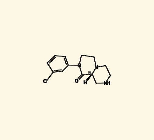 O=C1[C@H]2CNCCN2CCN1c1cccc(Cl)c1